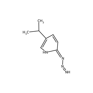 CC(C)c1cc/c(=N/N=N)[nH]c1